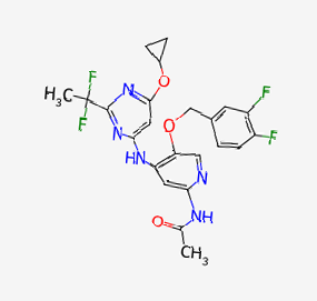 CC(=O)Nc1cc(Nc2cc(OC3CC3)nc(C(C)(F)F)n2)c(OCc2ccc(F)c(F)c2)cn1